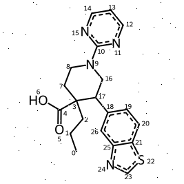 CCCC1(C(=O)O)CCN(c2ncccn2)CC1c1ccc2scnc2c1